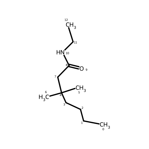 CCCCC(C)(C)CC(=O)NCC